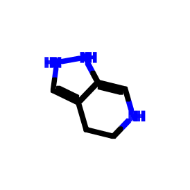 C1=C2CCNC=C2NN1